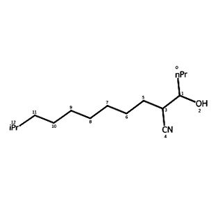 CCCC(O)C(C#N)CCCCCCCC(C)C